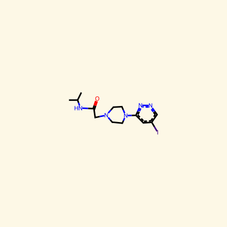 CC(C)NC(=O)CN1CCN(c2cc(I)cnn2)CC1